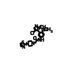 COc1ccc(NC(=O)CN2CCN(c3nccs3)CC2)cc1-c1c(Cl)cnn1C